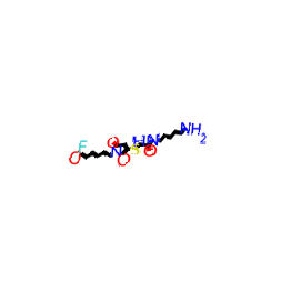 NCCCCCNC(=O)CSC1CC(=O)N(CCCCCC(=O)F)C1=O